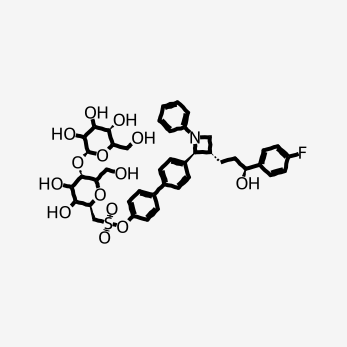 O=S(=O)(C[C@@H]1OC(CO)[C@@H](O[C@@H]2OC(CO)[C@@H](O)C(O)C2O)C(O)C1O)Oc1ccc(-c2ccc([C@@H]3[C@@H](CC[C@H](O)c4ccc(F)cc4)CN3c3ccccc3)cc2)cc1